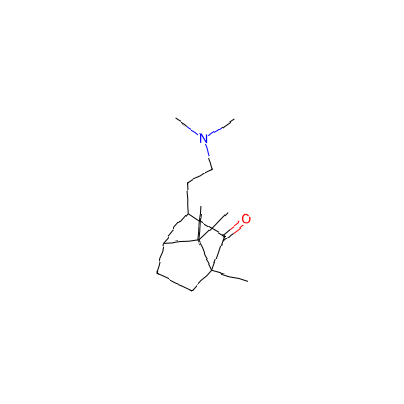 CN(C)CCC1C(=O)C2(C)CCC1C2(C)C